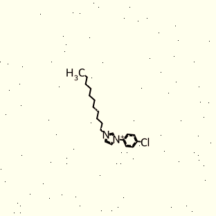 CCCCCCCCCCCn1cc[n+](-c2ccc(Cl)cc2)c1